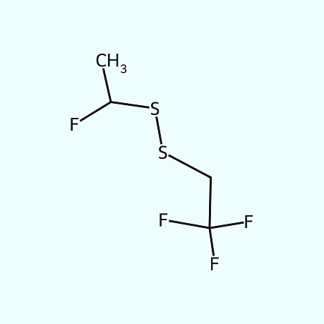 CC(F)SSCC(F)(F)F